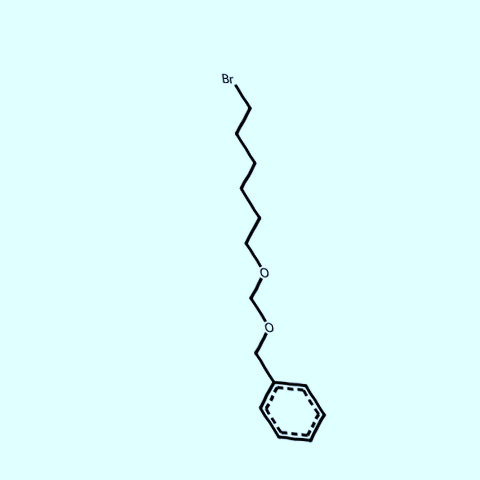 BrCCCCCCOCOCc1ccccc1